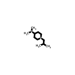 C[C](C)CN1CCC(N(C)C)CC1